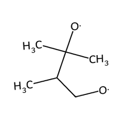 CC(C[O])C(C)(C)[O]